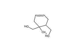 CC1(CO)CC=CCC1CO